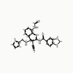 N#Cc1c(NC(=O)c2ccc3c(c2)OCO3)nc2c(NC=O)cccc2c1NCc1cccs1